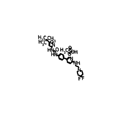 CC(C)(C)c1cc(NC(=O)Nc2ccc(-c3ccc(NCCN4CCC(F)(F)CC4)nc3)cc2)no1.CS(=O)(=O)O